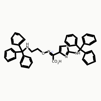 O=C(O)/C(=N\OCCNC(c1ccccc1)(c1ccccc1)c1ccccc1)c1csc(NC(c2ccccc2)(c2ccccc2)c2ccccc2)n1